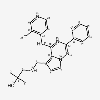 CC(C)(O)CNCc1ccn2nc(-c3ccccn3)nc(Nc3ccncc3F)c12